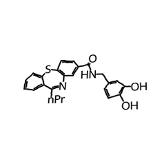 CCCC1=Nc2cc(C(=O)NCc3ccc(O)c(O)c3)ccc2Sc2ccccc21